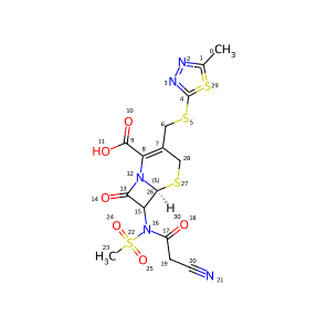 Cc1nnc(SCC2=C(C(=O)O)N3C(=O)C(N(C(=O)CC#N)S(C)(=O)=O)[C@@H]3SC2)s1